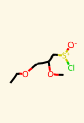 CCOCC(C[S+]([O-])Cl)OC